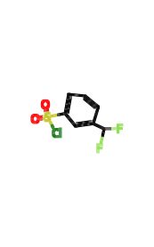 O=S(=O)(Cl)c1cccc(C(F)F)c1